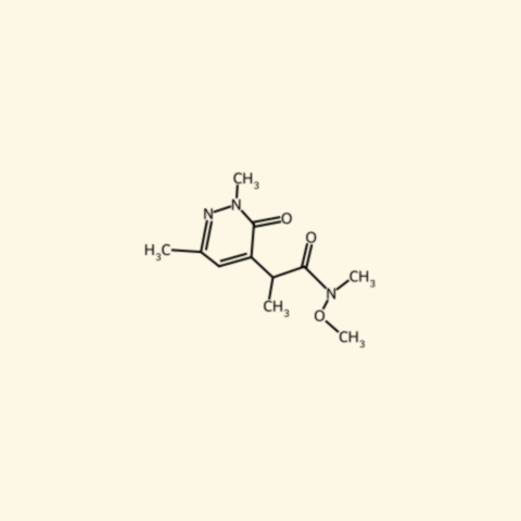 CON(C)C(=O)C(C)c1cc(C)nn(C)c1=O